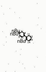 CCCCC1=C(C2=CCC(CCCC)(CCCC)C=C2)CCC=C1